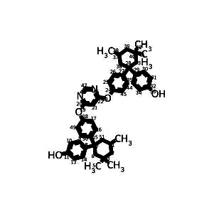 CC1CC(C)(C)CC(c2ccc(O)cc2)(c2ccc(Oc3cc(Oc4ccc(C5(c6ccc(O)cc6)CC(C)CC(C)(C)C5)cc4)ncn3)cc2)C1